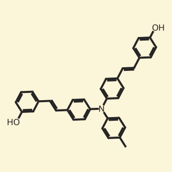 Cc1ccc(N(c2ccc(C=Cc3ccc(O)cc3)cc2)c2ccc(C=Cc3cccc(O)c3)cc2)cc1